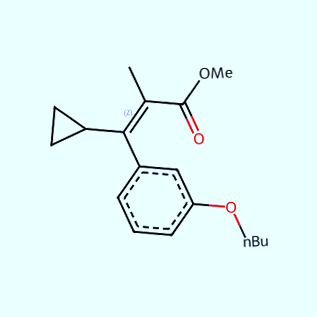 CCCCOc1cccc(/C(=C(/C)C(=O)OC)C2CC2)c1